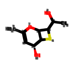 CC(O)C1SC2C1OC(C(=O)O)=C[C@H]2O